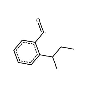 CCC(C)c1ccccc1[C]=O